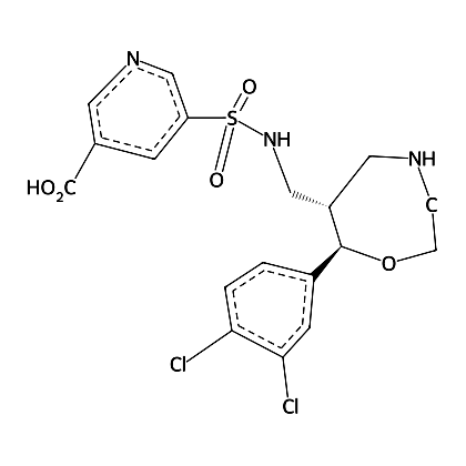 O=C(O)c1cncc(S(=O)(=O)NC[C@@H]2CNCCO[C@H]2c2ccc(Cl)c(Cl)c2)c1